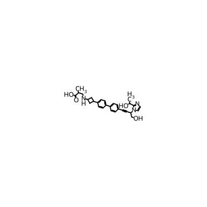 CC(CNC1CC(c2ccc(-c3ccc(C#CC(CO)n4ccnc4C(C)O)cc3)cc2)C1)C(=O)O